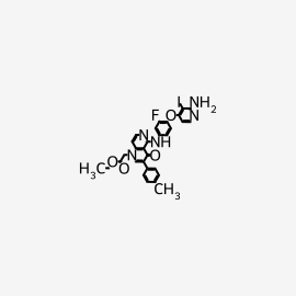 CCOC(=O)Cn1cc(-c2ccc(C)cc2)c(=O)c2c(Nc3ccc(Oc4ccnc(N)c4I)c(F)c3)nccc21